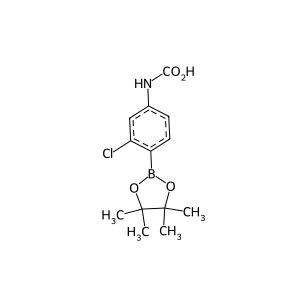 CC1(C)OB(c2ccc(NC(=O)O)cc2Cl)OC1(C)C